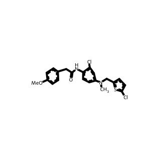 COc1ccc(CC(=O)Nc2ccc(N(C)Cc3ccc(Cl)s3)cc2Cl)cc1